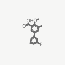 COc1c(C)cc(-c2cccc(F)c2)cc1C(=O)O